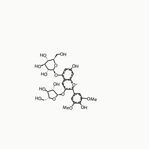 COc1cc(-c2[o+]c3cc(O)cc(O[C@@H]4O[C@H](CO)[C@@H](O)[C@H](O)[C@H]4O)c3cc2O[C@H]2O[C@H](CO)[C@@H](O)[C@@H]2O)cc(OC)c1O